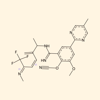 C=C(/C=C\C(=N/C)C(F)(F)F)C(C)NC(=N)c1cc(-c2ncc(C)cn2)cc(OC)c1OC#N